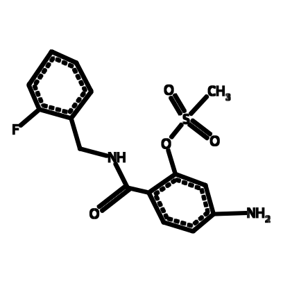 CS(=O)(=O)Oc1cc(N)ccc1C(=O)NCc1ccccc1F